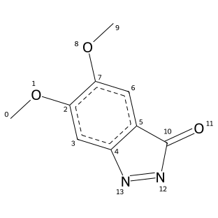 COc1cc2c(cc1OC)C(=O)N=N2